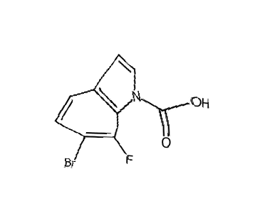 O=C(O)n1ccc2ccc(Br)c(F)c21